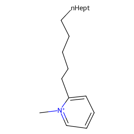 CCCCCCCCCCCCc1cccc[n+]1C